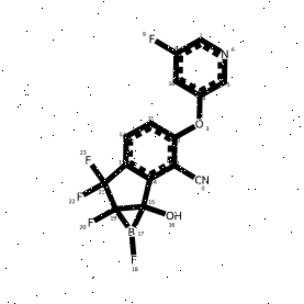 N#Cc1c(Oc2cncc(F)c2)ccc2c1C1(O)B(F)C1(F)C2(F)F